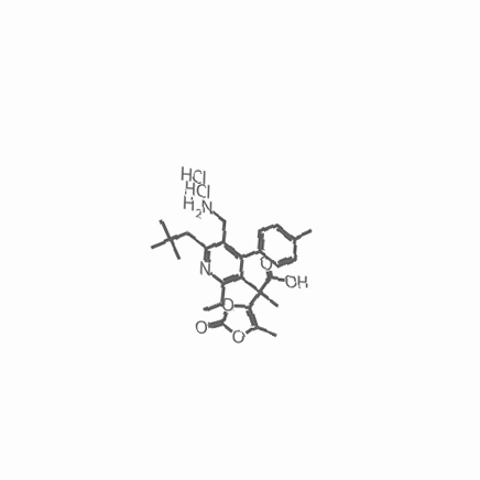 CCc1nc(CC(C)(C)C)c(CN)c(-c2ccc(C)cc2)c1C(C)(C(=O)O)c1oc(=O)oc1C.Cl.Cl